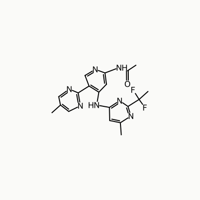 CC(=O)Nc1cc(Nc2cc(C)nc(C(C)(F)F)n2)c(-c2ncc(C)cn2)cn1